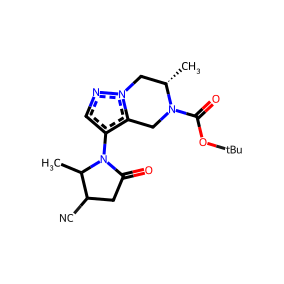 CC1C(C#N)CC(=O)N1c1cnn2c1CN(C(=O)OC(C)(C)C)[C@@H](C)C2